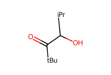 CC(C)C(O)C(=O)C(C)(C)C